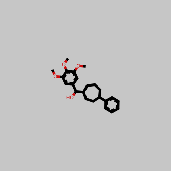 COc1cc(C(O)C2CCCC(c3ccccc3)CC2)cc(OC)c1OC